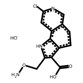 Cl.NOCc1[nH]c2c(ccc3cnc(Cl)cc32)c1C(=O)O